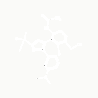 CN(C)c1cccc(-n2nc(C(F)(F)F)cc2-c2c(NC(N)=O)ccc(CO)c2F)c1